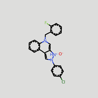 [O-][NH+]1C2=CN(Cc3ccccc3F)c3ccccc3C2=CN1c1ccc(Cl)cc1